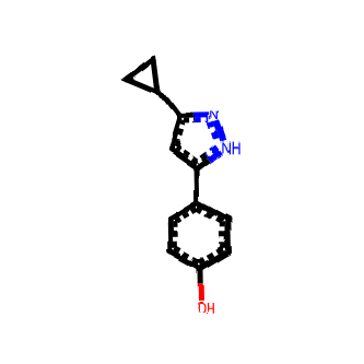 Oc1ccc(-c2cc(C3CC3)n[nH]2)cc1